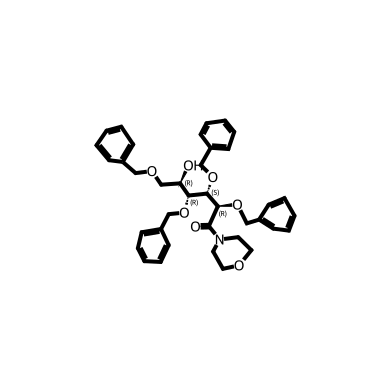 O=C([C@H](OCc1ccccc1)[C@@H](OCc1ccccc1)[C@H](OCc1ccccc1)[C@H](O)COCc1ccccc1)N1CCOCC1